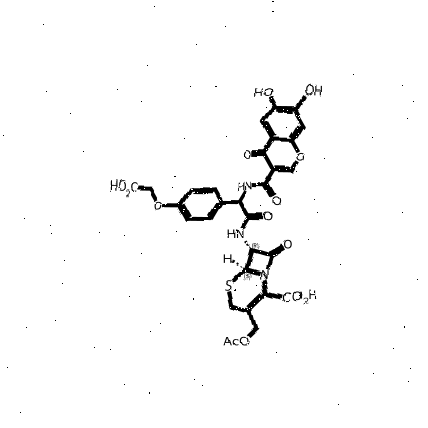 CC(=O)OCC1=C(C(=O)O)N2C(=O)[C@@H](NC(=O)C(NC(=O)c3coc4cc(O)c(O)cc4c3=O)c3ccc(OCC(=O)O)cc3)[C@@H]2SC1